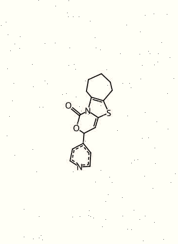 O=C1OC(c2ccncc2)C=C2SC3=C(CCCCC3)N12